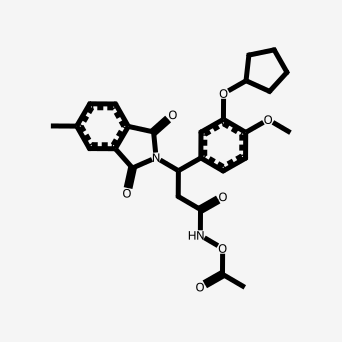 COc1ccc(C(CC(=O)NOC(C)=O)N2C(=O)c3ccc(C)cc3C2=O)cc1OC1CCCC1